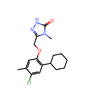 Cc1cc(OCc2n[nH]c(=O)n2C)c(C2CCCCC2)cc1Cl